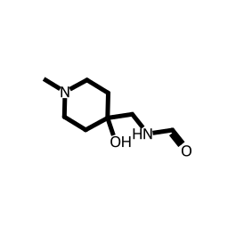 CN1CCC(O)(CNC=O)CC1